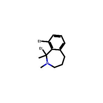 CCc1cccc2c1C(C)(CC)N(C)CCC2